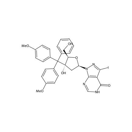 COc1ccc(C(c2ccccc2)(c2ccc(OC)cc2)[C@]2(O)C[C@H](n3nc(I)c4c(=O)[nH]cnc43)O[C@@H]2CO)cc1